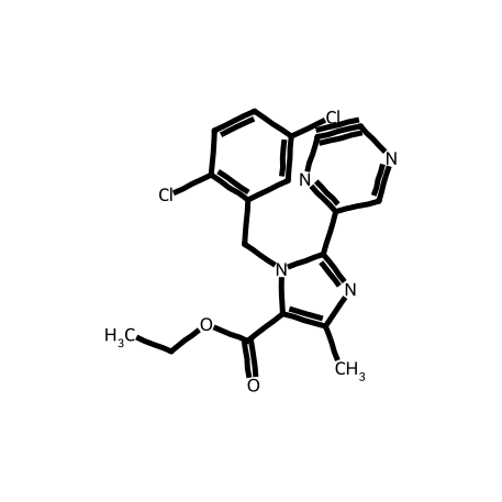 CCOC(=O)c1c(C)nc(-c2cnc#cn2)n1Cc1cc(Cl)ccc1Cl